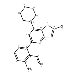 N=Cc1c(N)cccc1-c1nc(N2CCOCC2)c2sc(Cl)cc2n1